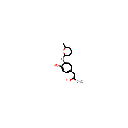 CC1CCCC(OC2=CCC(CC(O)C=O)=CC=C2O)O1